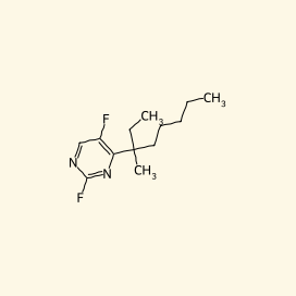 CCCCCC(C)(CC)c1nc(F)ncc1F